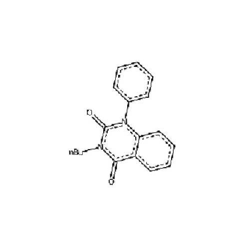 CCCCn1c(=O)c2ccccc2n(-c2ccccc2)c1=O